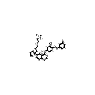 CS(=O)(=O)CCOCCCC1(c2ccc3ncnc(Nc4ccc(OCc5cccc(F)c5)c(Cl)c4)c3c2)CC=CO1